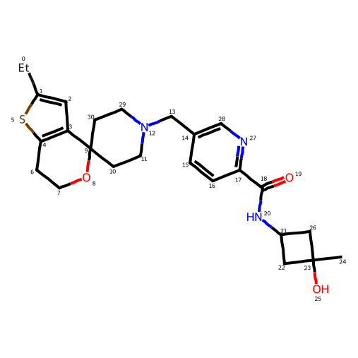 CCc1cc2c(s1)CCOC21CCN(Cc2ccc(C(=O)NC3CC(C)(O)C3)nc2)CC1